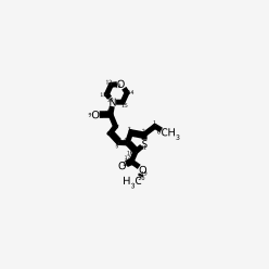 CCc1cc(/C=C\CC(=O)N2CCOCC2)c(C(=O)OC)s1